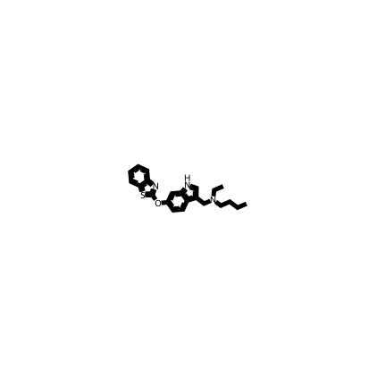 CCCCN(CC)Cc1c[nH]c2cc(Oc3nc4ccccc4s3)ccc12